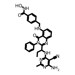 CCC(Nc1nc(C)nc(N)c1C#N)c1nc2cccc(NCc3ccc(C(=O)NO)cc3)c2c(=O)n1-c1ccccc1